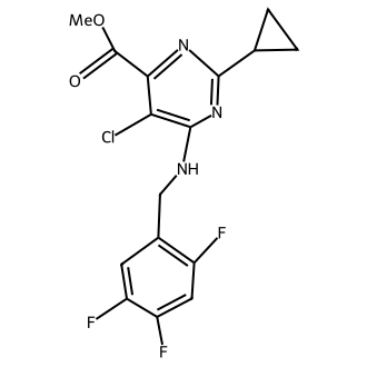 COC(=O)c1nc(C2CC2)nc(NCc2cc(F)c(F)cc2F)c1Cl